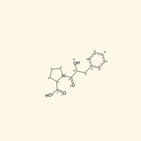 O=C(O)C1CCCN1C(=O)C(O)Cc1ccccc1